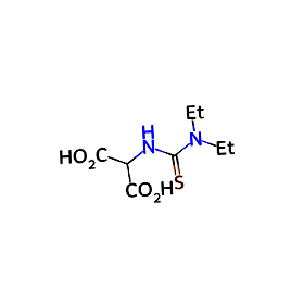 CCN(CC)C(=S)NC(C(=O)O)C(=O)O